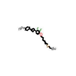 CCCC1CCC(c2ccc(-c3ccc(OCCCCCCSCCC(C)CC)c(F)c3F)cc2)CC1